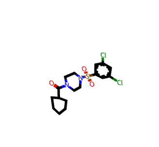 O=C(C1CCCCC1)N1CCN(S(=O)(=O)c2cc(Cl)cc(Cl)c2)CC1